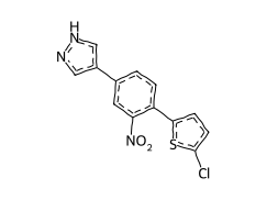 O=[N+]([O-])c1cc(-c2cn[nH]c2)ccc1-c1ccc(Cl)s1